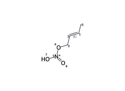 C/C=C/CO[N+](=O)O